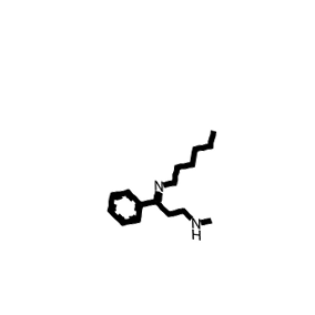 CCCCCCN=C(CCNC)c1ccccc1